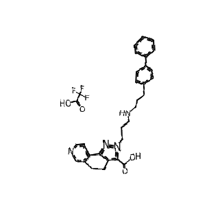 O=C(O)C(F)(F)F.O=C(O)c1c2c(nn1CCCNCCCc1ccc(-c3ccccc3)cc1)-c1ccncc1CC2